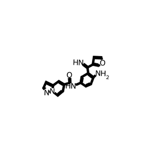 N=C(c1ccoc1)c1cc(NC(=O)c2ccn3nccc3c2)ccc1N